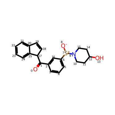 O=C(c1cccc([S+]([O-])N2CCC(O)CC2)c1)C1C=Cc2ccccc21